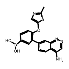 Cc1ncc(Oc2ccc(B(O)O)cc2-c2ccc3c(N)cnnc3c2)s1